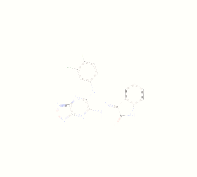 O=C1Nc2ccccc2/C1=N/Nc1nc2nonc2nc1Nc1ccc(F)c(Cl)c1